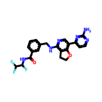 Nc1nccc(-c2cnc(NCc3cccc(C(=O)NC(F)C(F)F)c3)c3c2OCC3)n1